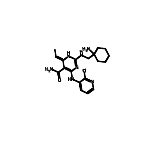 CC=C1NC(NCC2(N)CCCCC2)=NC(Nc2cccnc2Cl)=C1C(N)=O